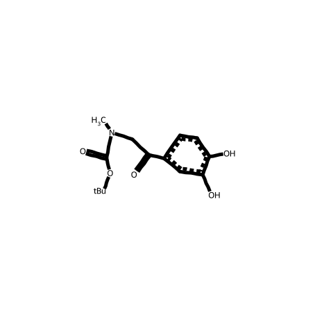 CN(CC(=O)c1ccc(O)c(O)c1)C(=O)OC(C)(C)C